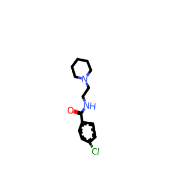 O=C(NCCN1CCCCC1)c1ccc(Cl)cc1